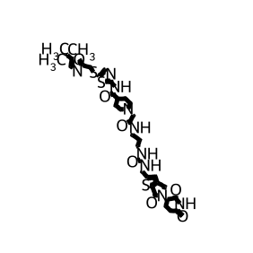 CC(C)(C)c1cnc(CSc2cnc(NC(=O)C3CCN(CC(=O)NCCCNC(=O)NCc4cc5c(s4)C(=O)N(C4CCC(=O)NC4=O)C5)CC3)s2)o1